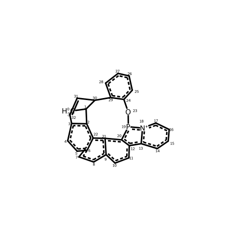 CC1c2c3ccc4ccc5ccc6c7cccc[n+]7p(c6c5c24)Oc2ccccc2C1C=C3